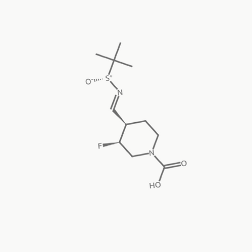 CC(C)(C)[S@@+]([O-])/N=C/[C@H]1CCN(C(=O)O)C[C@H]1F